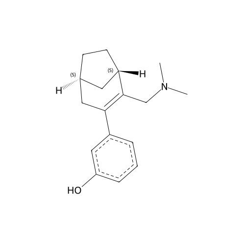 CN(C)CC1=C(c2cccc(O)c2)C[C@H]2CC[C@H]1C2